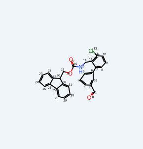 O=Cc1cccc(-c2cccc(Cl)c2CNC(=O)OCC2c3ccccc3-c3ccccc32)c1